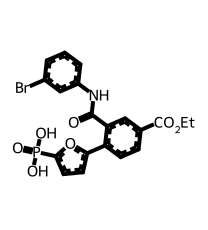 CCOC(=O)c1ccc(-c2ccc(P(=O)(O)O)o2)c(C(=O)Nc2cccc(Br)c2)c1